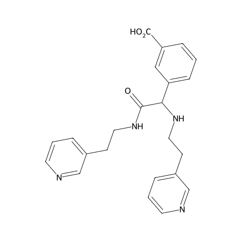 O=C(O)c1cccc(C(NCCc2cccnc2)C(=O)NCCc2cccnc2)c1